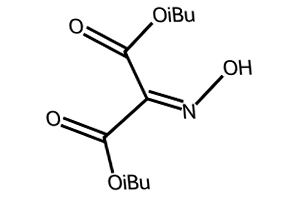 CC(C)COC(=O)C(=NO)C(=O)OCC(C)C